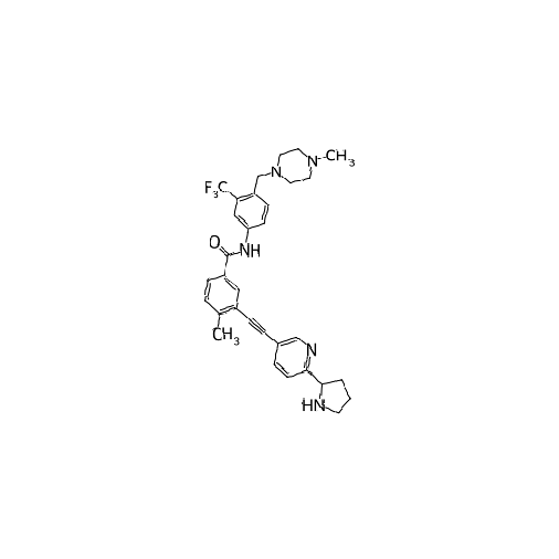 Cc1ccc(C(=O)Nc2ccc(CN3CCN(C)CC3)c(C(F)(F)F)c2)cc1C#Cc1ccc(C2CCCN2)nc1